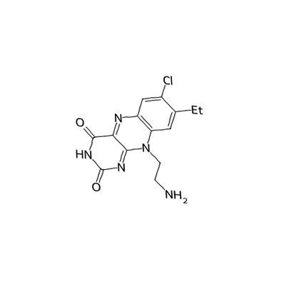 CCc1cc2c(cc1Cl)nc1c(=O)[nH]c(=O)nc-1n2CCN